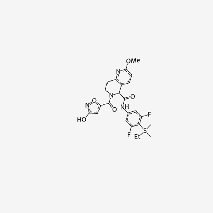 CCS(C)(C)c1c(F)cc(NC(=O)[C@@H]2c3ccc(OC)nc3CCN2C(=O)c2cc(O)no2)cc1F